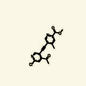 COC(=O)c1cc(C)c(C#Cc2cnc(Cl)cc2C(C)=O)cn1